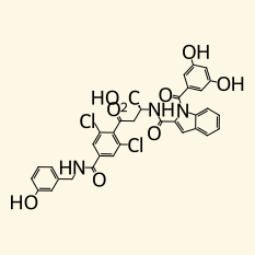 O=C(NCc1cccc(O)c1)c1cc(Cl)c(C(=O)C[C@H](NC(=O)c2cc3ccccc3n2C(=O)c2cc(O)cc(O)c2)C(=O)O)c(Cl)c1